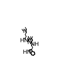 CCN(CC)CCCC(C)Nc1nc(C)cc(NCCc2c[nH]c3ccccc23)n1